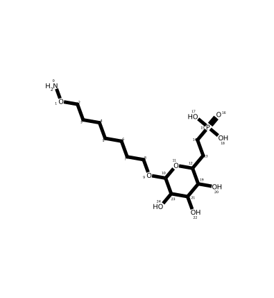 NOCCCCCCCOC1OC(CCP(=O)(O)O)C(O)C(O)C1O